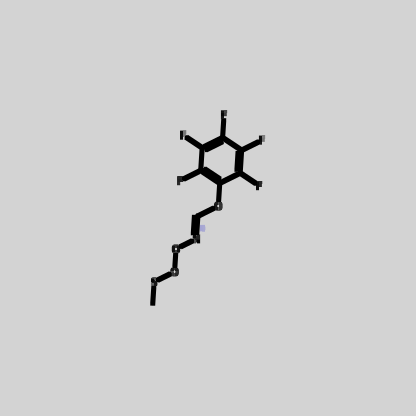 CSOO/N=C/Oc1c(F)c(F)c(F)c(F)c1F